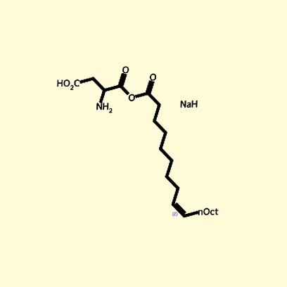 CCCCCCCC/C=C\CCCCCCCC(=O)OC(=O)C(N)CC(=O)O.[NaH]